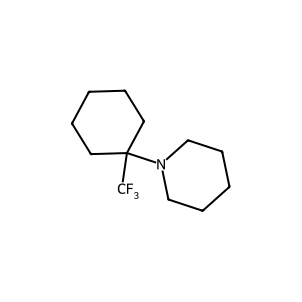 FC(F)(F)C1(N2CCCCC2)CCCCC1